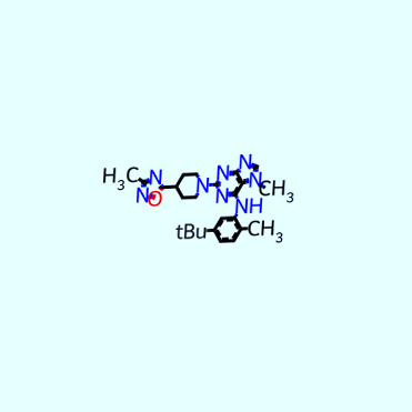 Cc1noc(C2CCN(c3nc(Nc4cc(C(C)(C)C)ccc4C)c4c(ncn4C)n3)CC2)n1